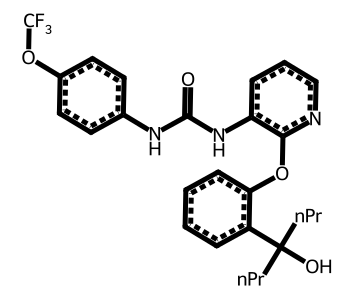 CCCC(O)(CCC)c1ccccc1Oc1ncccc1NC(=O)Nc1ccc(OC(F)(F)F)cc1